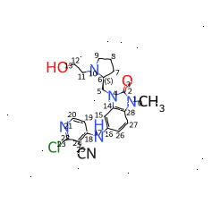 Cn1c(=O)n(C[C@@H]2CCCN2CCO)c2cc(Nc3ccnc(Cl)c3C#N)ccc21